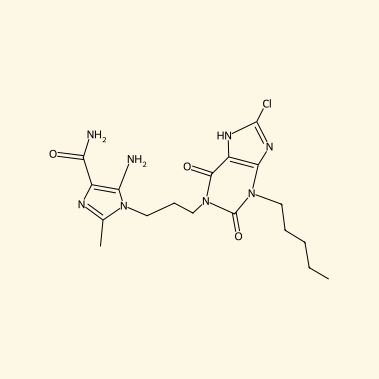 CCCCCn1c(=O)n(CCCn2c(C)nc(C(N)=O)c2N)c(=O)c2[nH]c(Cl)nc21